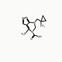 CC1(CN2CN(C(=O)O)C(N)=C3C=NN=C32)CC1